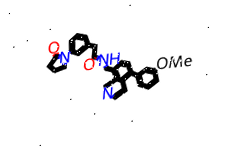 COc1cccc(-c2ccc(CNC(=O)Cc3cccc(N4CCCC4=O)c3)c3cnccc23)c1